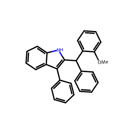 COc1ccccc1C(c1ccccc1)c1[nH]c2ccccc2c1-c1ccccc1